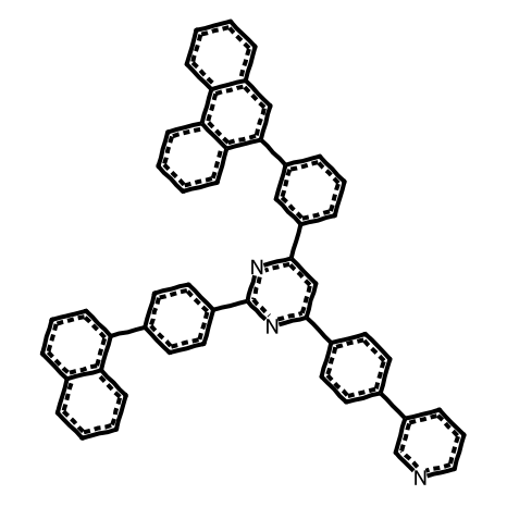 c1cncc(-c2ccc(-c3cc(-c4cccc(-c5cc6ccccc6c6ccccc56)c4)nc(-c4ccc(-c5cccc6ccccc56)cc4)n3)cc2)c1